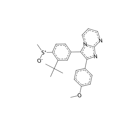 COc1ccc(-c2nc3ncccn3c2-c2ccc([S+](C)[O-])c(C(C)(C)C)c2)cc1